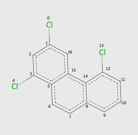 Clc1[c]c(Cl)c2ccc3c[c]cc(Cl)c3c2c1